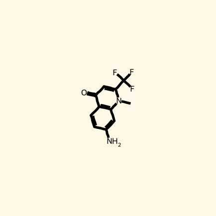 Cn1c(C(F)(F)F)cc(=O)c2ccc(N)cc21